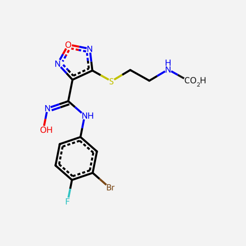 O=C(O)NCCSc1nonc1/C(=N/O)Nc1ccc(F)c(Br)c1